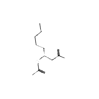 CCC[C@@H](C)C[C@@H](CC(=O)O)NC(C)=O